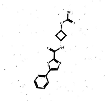 NC(=O)O[C@H]1C[C@H](NC(=O)c2ncc(-c3ccccc3)s2)C1